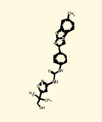 Cc1ccc2c(c1)sc1nc(-c3ccc(NC(=O)Nc4cc(C(C)(C)CO)on4)cc3)cn12